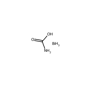 NC(=O)O.[BiH3]